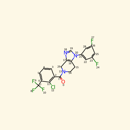 O=C(c1cccc(C(F)(F)F)c1Cl)N1CCc2c(ncn2-c2cc(F)cc(F)c2)C1